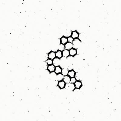 Cc1cccc2c1oc1c(N(c3ccccc3)c3ccc4c(ccc5oc6ccc7cc(N(c8cccc9c8oc8c(C)cccc89)C8C=CC=CC8C)ccc7c6c54)c3)cccc12